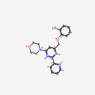 Clc1ccccc1OCc1cc(N2CCOCC2)nc(-c2ccccn2)n1